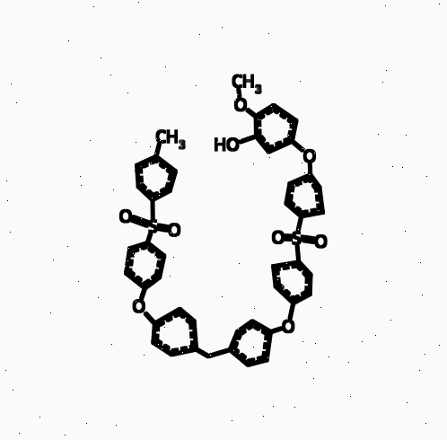 COc1ccc(Oc2ccc(S(=O)(=O)c3ccc(Oc4ccc(Cc5ccc(Oc6ccc(S(=O)(=O)c7ccc(C)cc7)cc6)cc5)cc4)cc3)cc2)cc1O